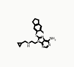 Nc1ncnc2c1nc(Sc1cc3c(cc1I)CCC3)n2CCNCC1CC1